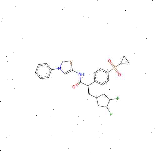 O=C(NC1=CN(c2ccccc2)CS1)[C@H](CC1CC(F)C(F)C1)c1ccc(S(=O)(=O)C2CC2)cc1